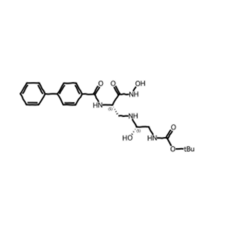 CC(C)(C)OC(=O)NC[C@H](O)NC[C@H](NC(=O)c1ccc(-c2ccccc2)cc1)C(=O)NO